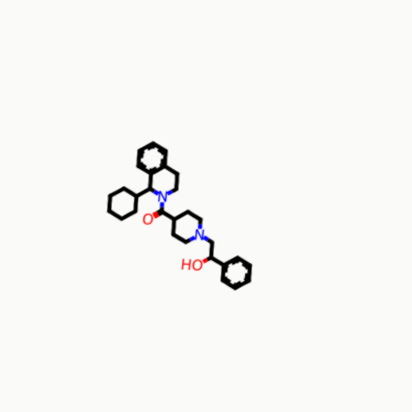 O=C(C1CCN(CC(O)c2ccccc2)CC1)N1CCc2ccccc2C1C1CCCCC1